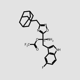 N[C@@](Cc1c[nH]c2ccc(F)cc12)(OC(=O)C(F)(F)F)c1nc(CC23CC4CC(CC(C4)C2)C3)no1